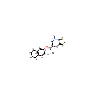 CNCC(COc1ccc2c(c1)CCCC2)Cc1ccsc1.Cl